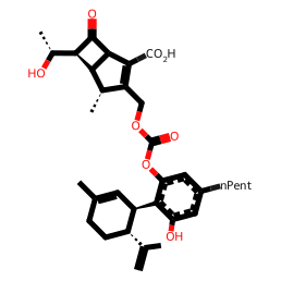 C=C(C)[C@@H]1CCC(C)=C[C@H]1c1c(O)cc(CCCCC)cc1OC(=O)OCC1=C(C(=O)O)C2C(=O)[C@H]([C@@H](C)O)C2[C@H]1C